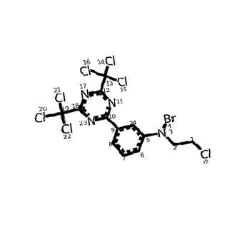 ClCCN(Br)c1cccc(-c2nc(C(Cl)(Cl)Cl)nc(C(Cl)(Cl)Cl)n2)c1